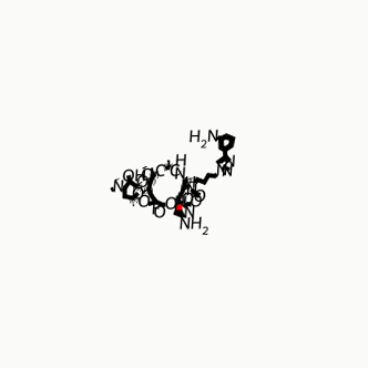 CC[C@H]1OC(=O)C(C)(F)C(=O)[C@@H](C)[C@@H](O[C@@H]2O[C@H](C)CC(N(C)C)C2O)[C@](C)(OC)C[C@@H](C)CN[C@H](C)[C@H]2N(CCCCn3cc(-c4cccc(N)c4)nn3)C(=O)O[C@]12n1ccc(N)nc1=O